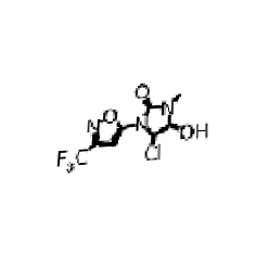 CN1C(=O)N(c2cc(C(F)(F)F)no2)C(Cl)C1O